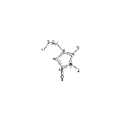 C/C=C\c1oc(=O)n(C)c1C